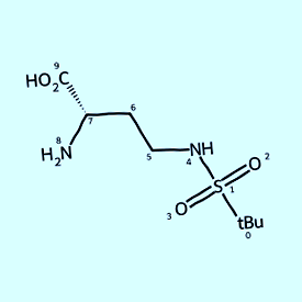 CC(C)(C)S(=O)(=O)NCC[C@H](N)C(=O)O